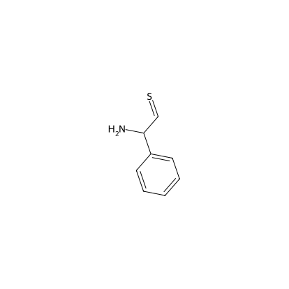 NC(C=S)c1ccccc1